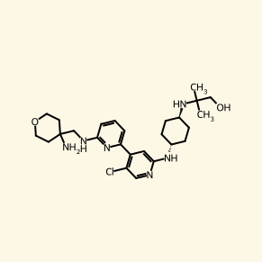 CC(C)(CO)N[C@H]1CC[C@H](Nc2cc(-c3cccc(NCC4(N)CCOCC4)n3)c(Cl)cn2)CC1